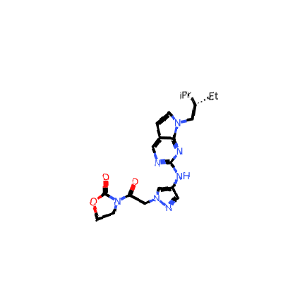 CC[C@H](Cn1ccc2cnc(Nc3cnn(CC(=O)N4CCOC4=O)c3)nc21)C(C)C